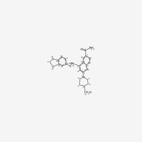 NC(=O)c1ccc2nc(N3CCC(C(=O)O)CC3)nc(NCc3ccc4c(c3)OCO4)c2c1